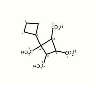 O=C(O)C1C(C(=O)O)C(C(=O)O)(C2CCC2)C1C(=O)O